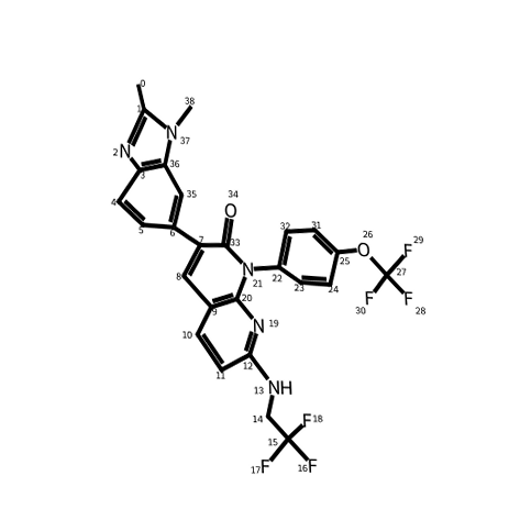 Cc1nc2ccc(-c3cc4ccc(NCC(F)(F)F)nc4n(-c4ccc(OC(F)(F)F)cc4)c3=O)cc2n1C